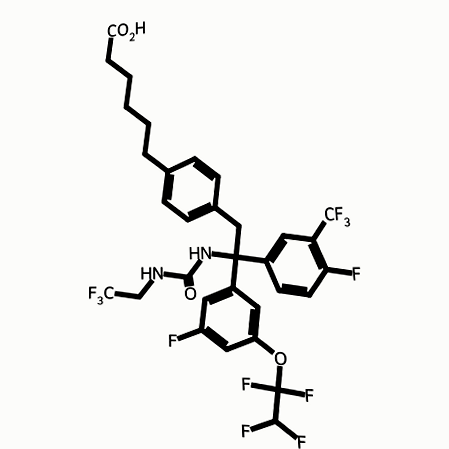 O=C(O)CCCCCc1ccc(CC(NC(=O)NCC(F)(F)F)(c2cc(F)cc(OC(F)(F)C(F)F)c2)c2ccc(F)c(C(F)(F)F)c2)cc1